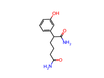 NC(=O)CCCC(C(N)=O)c1cccc(O)c1